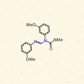 CNC(=O)N(C=Nc1cccc(OC)c1)c1cccc(OC)c1